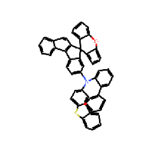 c1ccc(-c2ccccc2N(c2ccc3c(c2)C2(c4ccccc4Oc4ccccc42)c2ccc4ccccc4c2-3)c2ccc3sc4ccccc4c3c2)cc1